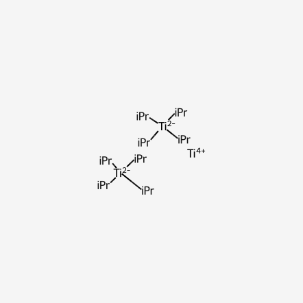 C[CH](C)[Ti-2]([CH](C)C)([CH](C)C)[CH](C)C.C[CH](C)[Ti-2]([CH](C)C)([CH](C)C)[CH](C)C.[Ti+4]